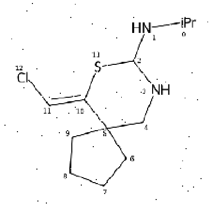 CC(C)NC1NCC2(CCCC2)C(=CCl)S1